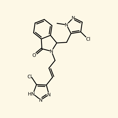 Cn1ncc(Cl)c1CC1c2ccccc2C(=O)N1C/C=C/c1nn[nH]c1Cl